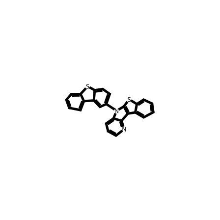 c1ccc2c(c1)sc1ccc(-n3c4cccnc4c4c5ccccc5sc43)cc12